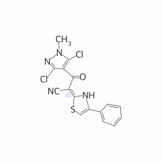 Cn1nc(Cl)c(C(=O)/C(C#N)=C2\NC(c3ccccc3)=CS2)c1Cl